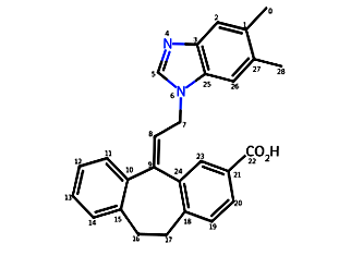 Cc1cc2ncn(CC=C3c4ccccc4CCc4ccc(C(=O)O)cc43)c2cc1C